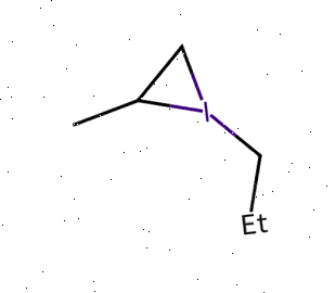 CCCI1CC1C